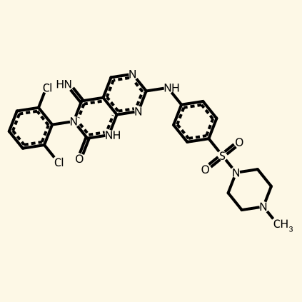 CN1CCN(S(=O)(=O)c2ccc(Nc3ncc4c(=N)n(-c5c(Cl)cccc5Cl)c(=O)[nH]c4n3)cc2)CC1